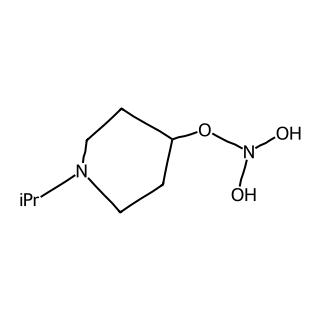 CC(C)N1CCC(ON(O)O)CC1